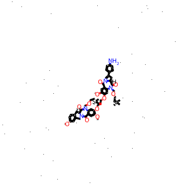 COc1ccc2c(c1)CN1C(=O)c3cc(OC)c(OCCCOc4cc5c(cc4OC)C(=O)N4C=C(c6ccc(N)cc6)C[C@H]4C(=O)N5COCC[Si](C)(C)C)cc3N(COCC[Si](C)(C)C)C(=O)[C@@H]1C2